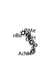 CCCCc1ccc(OC)c(-c2csc(NC(=O)c3ccc(C(=O)CCN4CCC(NC(C)=O)C4)cc3)n2)c1